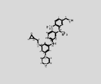 Cc1ccc(CO)cc1N(C)c1ccnc(Nc2cc(OCC3CC3)cc(N3CCOCC3)c2)n1